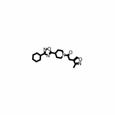 Cc1nocc1CC(=O)N1CCC(c2nc(C3CCCCC3)no2)CC1